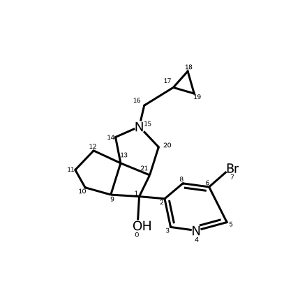 OC1(c2cncc(Br)c2)C2CCCC23CN(CC2CC2)CC31